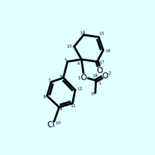 CC(=O)OC1(Cc2ccc(Cl)cc2)CCC=CC1=O